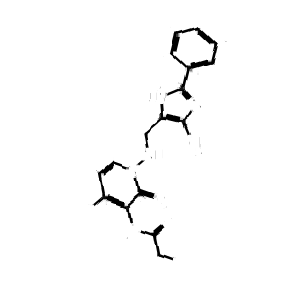 CCC(=O)Oc1c(C)ccn(NCc2[nH]c(-c3ccccc3)nc2Cl)c1=O